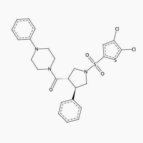 O=C([C@@H]1CN(S(=O)(=O)c2cc(Cl)c(Cl)s2)C[C@H]1c1ccccc1)N1CCN(c2ccccc2)CC1